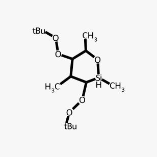 CC1O[SiH](C)C(OOC(C)(C)C)C(C)C1OOC(C)(C)C